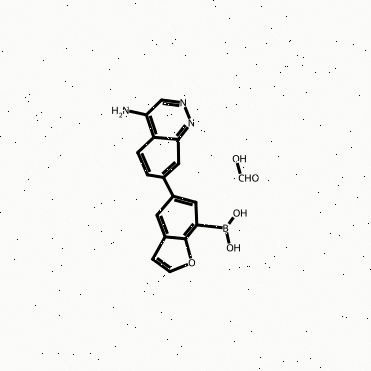 Nc1cnnc2cc(-c3cc(B(O)O)c4occc4c3)ccc12.O=CO